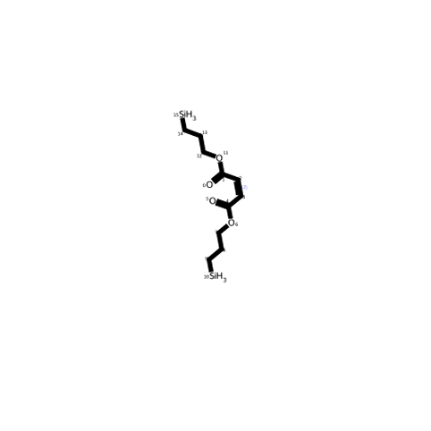 O=C(/C=C\C(=O)OCCC[SiH3])OCCC[SiH3]